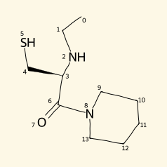 CCN[C@H](CS)C(=O)N1CCCCC1